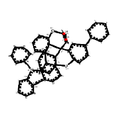 c1ccc(-c2ccc3c(c2)C2(c4ccccc4O3)c3ccccc3Oc3cccc(-c4cccc5c6ccccc6n(-c6ccccc6)c45)c32)cc1